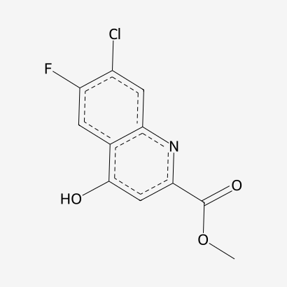 COC(=O)c1cc(O)c2cc(F)c(Cl)cc2n1